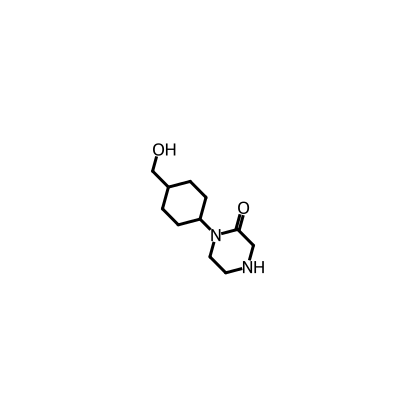 O=C1CNCCN1C1CCC(CO)CC1